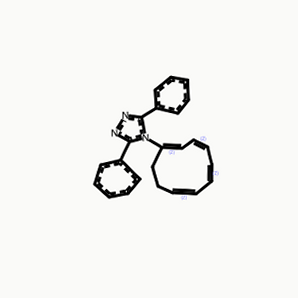 C1=C\C=C/CC\C(n2c(-c3ccccc3)nnc2-c2ccccc2)=C\C=C/1